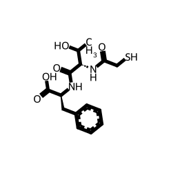 CC(O)[C@H](NC(=O)CS)C(=O)N[C@@H](Cc1ccccc1)C(=O)O